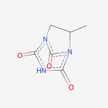 CC1Cn2c(=O)[nH]c(=O)n1c2=O